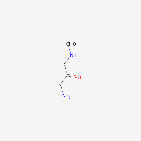 NCC(=O)CNC=O